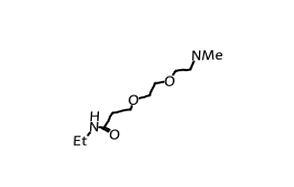 CCNC(=O)CCOCCOCCNC